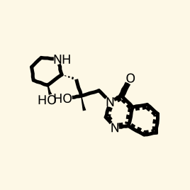 C[C@@](O)(C[C@H]1NCCC[C@@H]1O)Cn1cnc2ccccc2c1=O